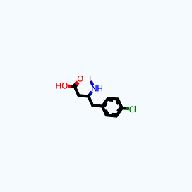 O=C(O)CC(Cc1ccc(Cl)cc1)NI